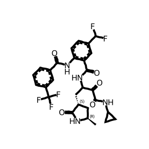 C[C@@H]1C[C@@H](CC(NC(=O)c2cc(C(F)F)ccc2NC(=O)c2cccc(C(F)(F)F)c2)C(=O)C(=O)NC2CC2)C(=O)N1